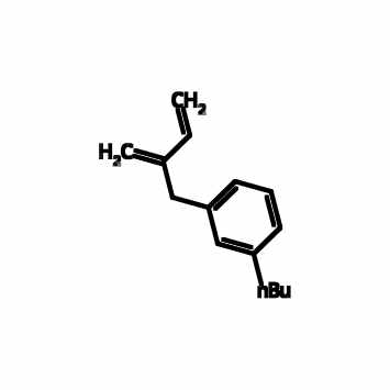 C=CC(=C)Cc1cccc(CCCC)c1